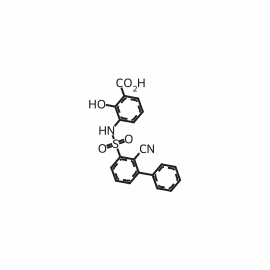 N#Cc1c(-c2ccccc2)cccc1S(=O)(=O)Nc1cccc(C(=O)O)c1O